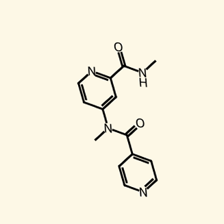 CNC(=O)c1cc(N(C)C(=O)c2ccncc2)ccn1